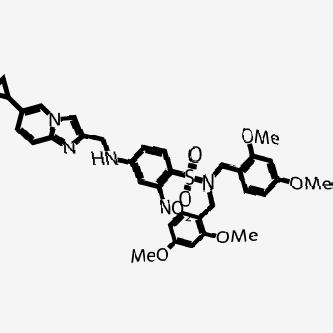 COc1ccc(CN(Cc2ccc(OC)cc2OC)S(=O)(=O)c2ccc(NCc3cn4cc(C5CC5)ccc4n3)cc2[N+](=O)[O-])c(OC)c1